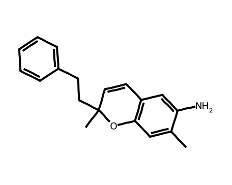 Cc1cc2c(cc1N)C=CC(C)(CCc1ccccc1)O2